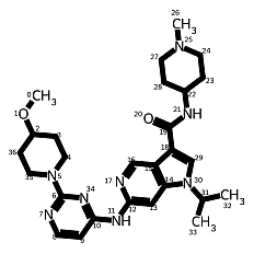 COC1CCN(c2nccc(Nc3cc4c(cn3)c(C(=O)NC3CCN(C)CC3)cn4C(C)C)n2)CC1